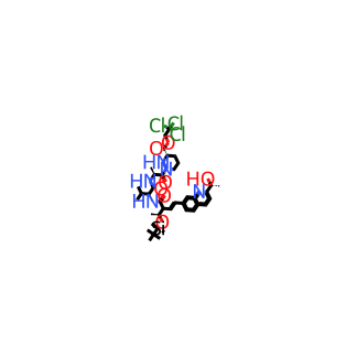 CC(C)[C@H](NC(=O)C(/C=C/c1ccc2ccc([C@@H](C)O)nc2c1)[C@H](C)O[Si](C)(C)C(C)(C)C)C(=O)N[C@@H](C)C(=O)N1CCC[C@@H](C(=O)OCC(Cl)(Cl)Cl)N1